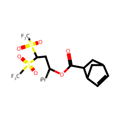 CC(C)C(CC(S(=O)(=O)C(F)(F)F)S(=O)(=O)C(F)(F)F)OC(=O)C1CC2C=CC1C2